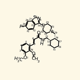 COc1cccc(/C=C/C(=O)NC[C@@H]2CCCC[C@H]2CN2CCN(c3nsc4cc(F)ccc34)CC2)c1OC